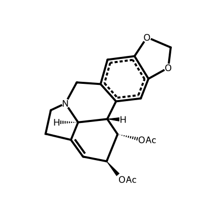 CC(=O)O[C@H]1[C@H]2c3cc4c(cc3CN3CCC(=C[C@@H]1OC(C)=O)[C@H]23)OCO4